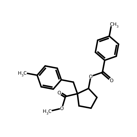 COC(=O)C1(Cc2ccc(C)cc2)CCCC1OC(=O)c1ccc(C)cc1